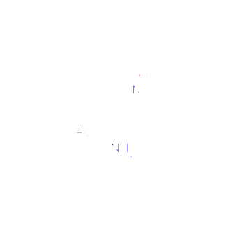 CC(=O)C(N)c1cc[n+]([O-])cc1